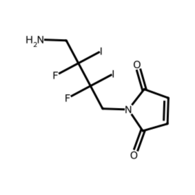 NCC(F)(I)C(F)(I)CN1C(=O)C=CC1=O